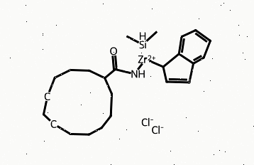 C[SiH](C)[Zr+2]([NH]C(=O)C1CCCCCCCCCCC1)[CH]1C=Cc2ccccc21.[Cl-].[Cl-]